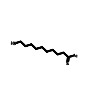 CC(=O)C(=S)CCCCCCCCCS